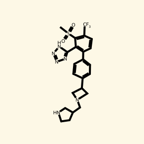 CS(=O)(=O)c1c(C(F)(F)F)ccc(-c2ccc(C3CN(CC4CCNC4)C3)cc2)c1-c1nnn[nH]1